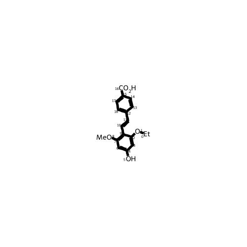 CCOc1cc(O)cc(OC)c1C=Cc1ccc(C(=O)O)cc1